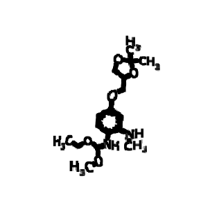 CCOC(Nc1ccc(OCC2COC(C)(C)O2)cc1NC)OC